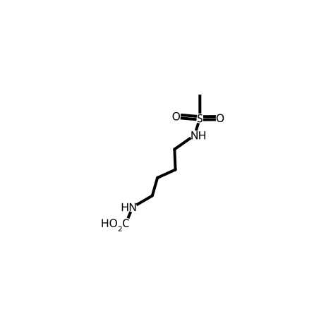 CS(=O)(=O)NCCCCNC(=O)O